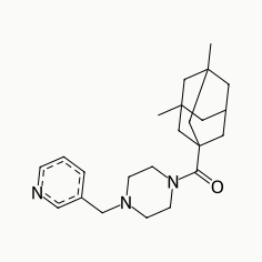 CC12CC3CC(C)(C1)CC(C(=O)N1CCN(Cc4cccnc4)CC1)(C3)C2